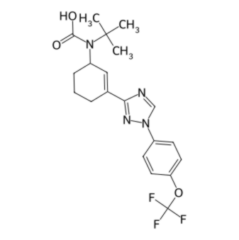 CC(C)(C)N(C(=O)O)C1C=C(c2ncn(-c3ccc(OC(F)(F)F)cc3)n2)CCC1